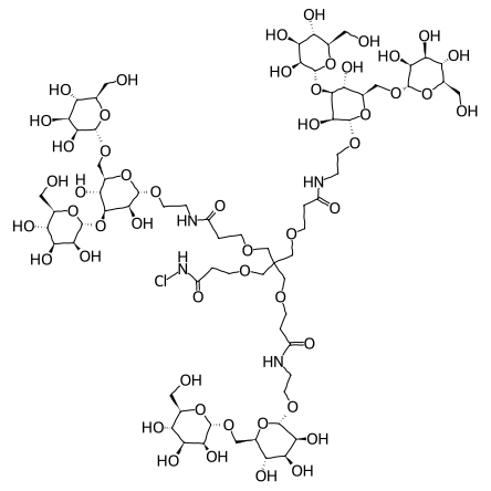 O=C(CCOCC(COCCC(=O)NCCO[C@H]1O[C@H](CO[C@H]2O[C@H](CO)[C@@H](O)[C@H](O)[C@@H]2O)[C@@H](O)[C@H](O)[C@@H]1O)(COCCC(=O)NCCO[C@H]1O[C@H](CO[C@H]2O[C@H](CO)[C@@H](O)[C@H](O)[C@@H]2O)[C@@H](O)[C@H](O[C@H]2O[C@H](CO)[C@@H](O)[C@H](O)[C@@H]2O)[C@@H]1O)COCCC(=O)NCCO[C@H]1O[C@H](CO[C@H]2O[C@H](CO)[C@@H](O)[C@H](O)[C@@H]2O)[C@@H](O)[C@H](O[C@H]2O[C@H](CO)[C@@H](O)[C@H](O)[C@@H]2O)[C@@H]1O)NCl